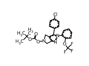 CC(C)(C)OC(=O)ON1Cc2nn(-c3ccccc3OC(F)(F)F)c(-c3ccc(Cl)cc3)c2C1